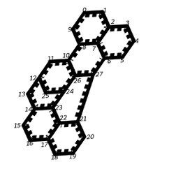 c1cc2cccc3c2c(c1)c1cc2cc4ccc5cccc6c5c4c(c2)c1c36